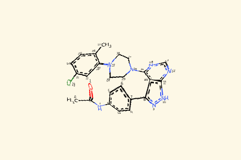 CC(=O)Nc1ccc(-c2n[nH]c3ncnc(N4CCN(c5cc(Cl)ccc5C)CC4)c23)cc1